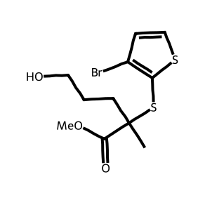 COC(=O)C(C)(CCCO)Sc1sccc1Br